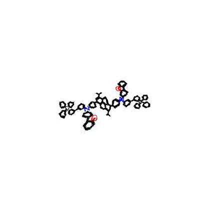 CC(C)c1cc(-c2ccc(N(c3cccc(-c4cccc([Si](c5ccccc5)(c5ccccc5)c5ccccc5)c4)c3)c3ccc4c(c3)oc3ccccc34)cc2)c2ccc3c(C(C)C)cc(-c4ccc(N(c5cccc(-c6cccc([Si](c7ccccc7)(c7ccccc7)c7ccccc7)c6)c5)c5ccc6c(c5)oc5ccccc56)cc4)c4ccc1c2c43